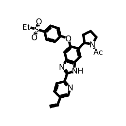 C=Cc1ccc(-c2nc3cc(Oc4ccc(S(=O)(=O)CC)cc4)c(C4CCCN4C(C)=O)cc3[nH]2)nc1